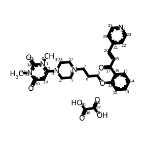 Cn1c(N2CCN(CCCOc3ccccc3C(=O)C=Cc3ccncc3)CC2)cc(=O)n(C)c1=O.O=C(O)C(=O)O